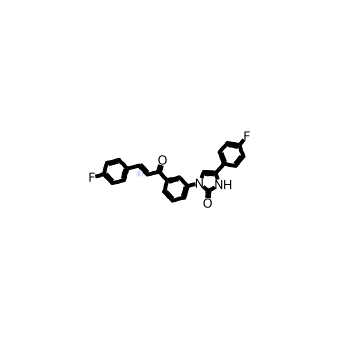 O=C(/C=C/c1ccc(F)cc1)c1cccc(-n2cc(-c3ccc(F)cc3)[nH]c2=O)c1